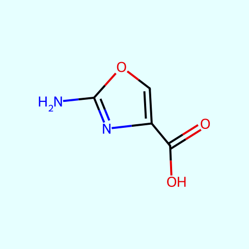 Nc1nc(C(=O)O)co1